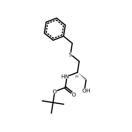 CC(C)(C)OC(=O)N[C@@H](CO)CSCc1ccccc1